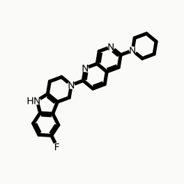 Fc1ccc2[nH]c3c(c2c1)CN(c1ccc2cc(N4CCCCC4)ncc2n1)CC3